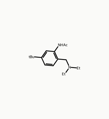 CCN(CC)Cc1ccc(C(C)(C)C)cc1NC(C)=O